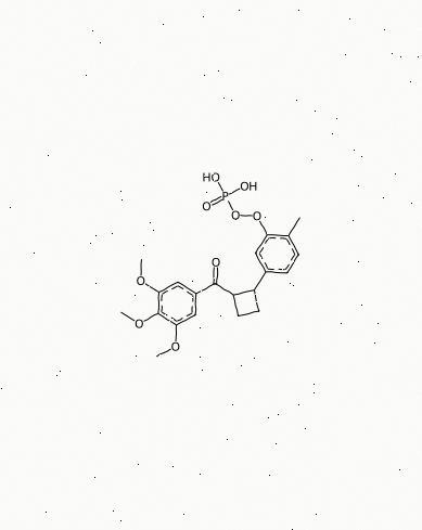 COc1cc(C(=O)C2CCC2c2ccc(C)c(OOP(=O)(O)O)c2)cc(OC)c1OC